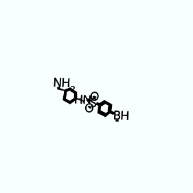 CBc1ccc(S(=O)(=O)NC[C@H]2CC[C@H](CN)CC2)cc1